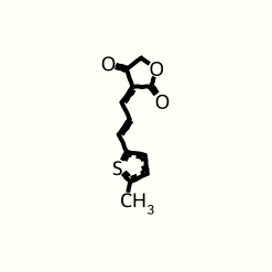 Cc1ccc(C=CC=C2C(=O)COC2=O)s1